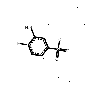 Nc1cc(S(=O)(=O)Cl)ccc1F